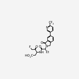 CCC(C(=O)NC(CC(=O)O)C(=O)CF)N1Cc2ccc(-c3ccc(C(F)(F)F)nc3)cc2C1=O